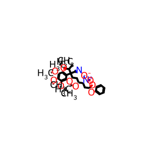 CCOc1cc(C(C#N)(CCC(OC(C)=O)C(CC2Oc3ccccc3O2)[N+](=O)[O-])C(CC)CC)c(OCC)c(OC)c1OC